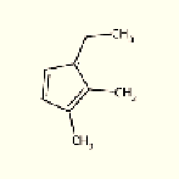 CC[C]1C=CC(C)=C1C